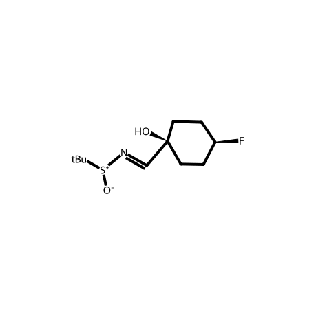 CC(C)(C)[S+]([O-])/N=C/[C@]1(O)CC[C@@H](F)CC1